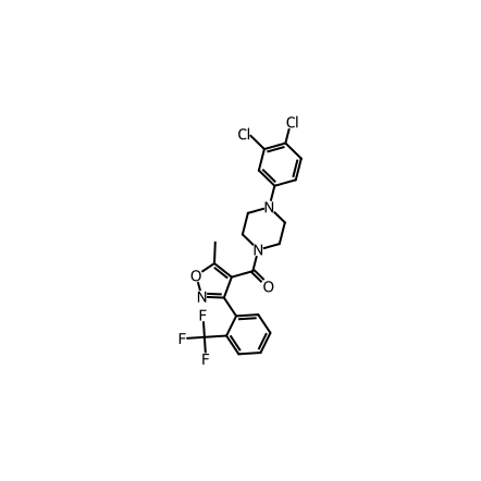 Cc1onc(-c2ccccc2C(F)(F)F)c1C(=O)N1CCN(c2ccc(Cl)c(Cl)c2)CC1